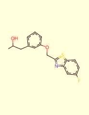 CC(O)Cc1cccc(OCc2nc3cc(F)ccc3s2)c1